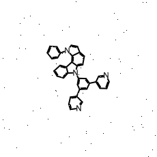 c1ccc(-n2ccc3ccc4c(c5ccccc5n4-c4cc(-c5cccnc5)cc(-c5cccnc5)c4)c32)cc1